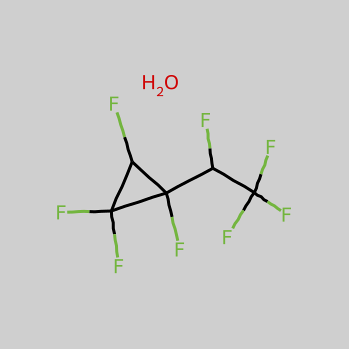 FC(C(F)(F)F)C1(F)C(F)C1(F)F.O